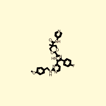 COc1ccc(CNc2nccc(-c3[nH]c(C4OCC(C)(C(=O)Nc5ccncc5)CO4)nc3-c3ccc(F)cc3)n2)cc1